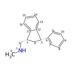 CNC[C@H]1C[C@@H](c2ccccc2)c2ccccc21